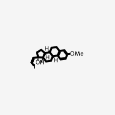 COc1ccc2c(c1)CC[C@@H]1[C@@H]2CC[C@@]2(C)[C@H]1CC[C@@]2(O)/C=C\I